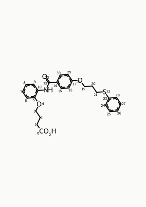 O=C(O)CCCOc1ccccc1NC(=O)c1ccc(OCCCSc2ccccc2)cc1